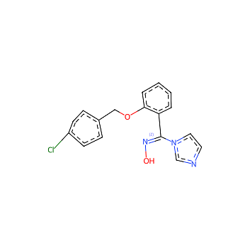 O/N=C(/c1ccccc1OCc1ccc(Cl)cc1)n1ccnc1